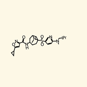 CC(C)CN(C)c1ccc(S(=O)(=O)C23CCC(NC(=O)c4cc(C5CC5)on4)CC(C2)N3C)cn1